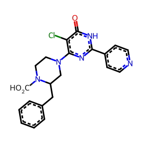 O=C(O)N1CCN(c2nc(-c3ccncc3)[nH]c(=O)c2Cl)CC1Cc1ccccc1